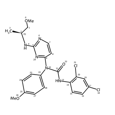 COC[C@H](C)Nc1nccc(N(C(=O)Nc2ccc(Cl)cc2Cl)c2ccc(OC)cc2)n1